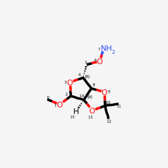 COC1O[C@H](CON)C2OC(C)(C)O[C@@H]12